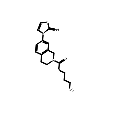 CCCCOC(=O)N1CCc2ccc(-n3ccsc3=N)cc2C1